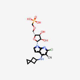 N#Cc1c(Cl)nc2c(ccn2[C@@H]2O[C@H](COCP(=O)(O)O)[C@@H](O)[C@H]2O)c1NC1CC2(CC2)C1